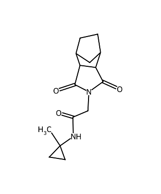 CC1(NC(=O)CN2C(=O)C3C4CCC(C4)C3C2=O)CC1